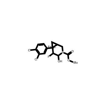 CCOC(=O)C12CN(C(=O)OC(C)(C)C)C(O)C(F)C1(c1ccc(Cl)c(Cl)c1)C2